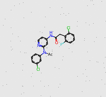 CC(=O)N(c1cccc(Cl)c1)c1cc(NC(=O)Cc2c(F)cccc2Cl)ccn1